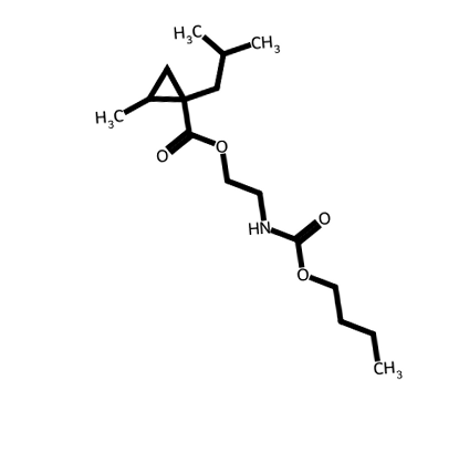 CCCCOC(=O)NCCOC(=O)C1(CC(C)C)CC1C